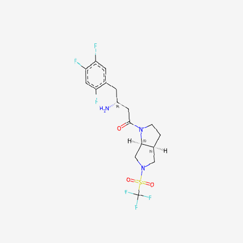 N[C@@H](CC(=O)N1CC[C@H]2CN(S(=O)(=O)C(F)(F)F)C[C@H]21)Cc1cc(F)c(F)cc1F